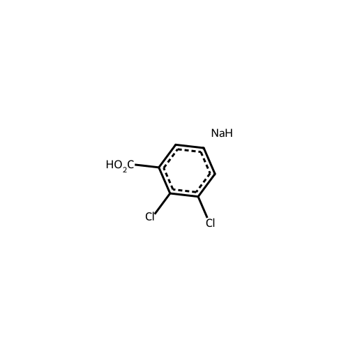 O=C(O)c1cccc(Cl)c1Cl.[NaH]